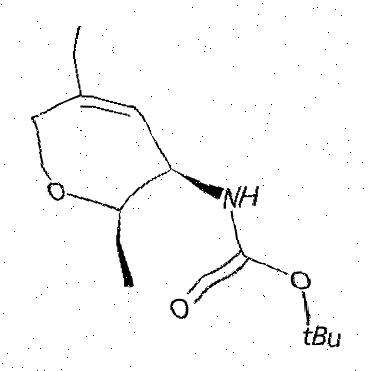 CC1=C[C@@H](NC(=O)OC(C)(C)C)[C@@H](C)OC1